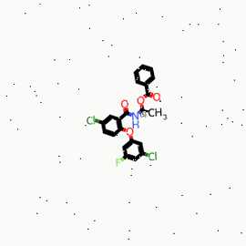 C[C@@H](NC(=O)c1cc(Cl)ccc1Oc1cc(F)cc(Cl)c1)OC(=O)c1ccccc1